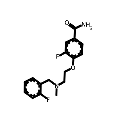 CN(CCOc1ccc(C(N)=O)cc1F)Cc1ccccc1F